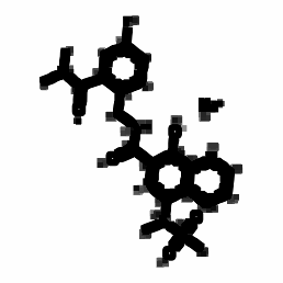 CN(C)C(=O)c1cc(F)ccc1CNC(=O)c1nc(N(C)S(C)(=O)=O)c2cccnc2c1[O-].[Na+]